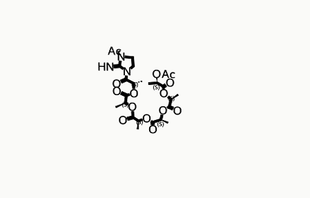 CC(=O)O[C@@H](C)C(=O)O[C@@H](C)C(=O)O[C@@H](C)C(=O)O[C@@H](C)C(=O)O[C@@H](C)C(=O)O[C@@H](C)C(=O)N1CCN(C(C)=O)C1=N